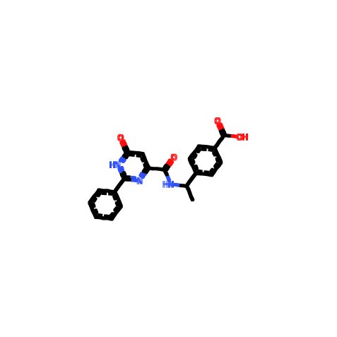 CC(NC(=O)c1cc(=O)[nH]c(-c2ccccc2)n1)c1ccc(C(=O)O)cc1